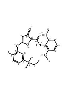 CC[Si](C)(C)c1ccc(C)c(OC2=CC(=O)C(C(=O)Nc3c(OC)cccc3OC)O2)c1